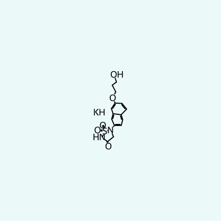 O=C1CN(c2ccc3ccc(OCCCO)cc3c2)S(=O)(=O)N1.[KH]